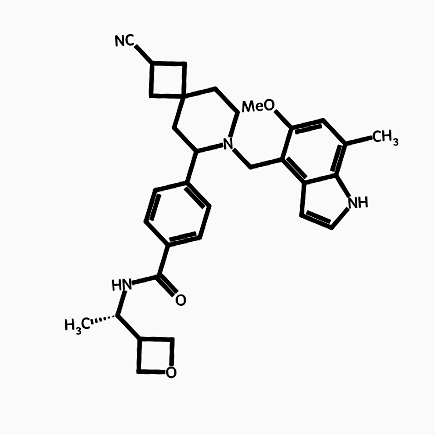 COc1cc(C)c2[nH]ccc2c1CN1CCC2(CC(C#N)C2)CC1c1ccc(C(=O)N[C@@H](C)C2COC2)cc1